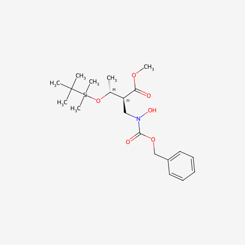 COC(=O)[C@@H](CN(O)C(=O)OCc1ccccc1)[C@@H](C)O[Si](C)(C)C(C)(C)C